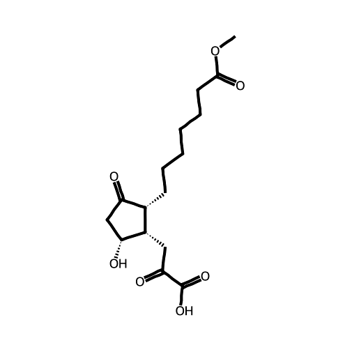 COC(=O)CCCCCC[C@H]1C(=O)C[C@@H](O)[C@H]1CC(=O)C(=O)O